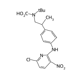 CC(CN(C(=O)O)C(C)(C)C)c1ccc(Nc2nc(Cl)ccc2[N+](=O)[O-])cc1